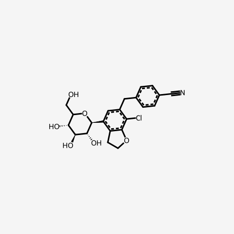 N#Cc1ccc(Cc2cc([C@@H]3OC(CO)[C@@H](O)[C@H](O)[C@H]3O)c3c(c2Cl)OCC3)cc1